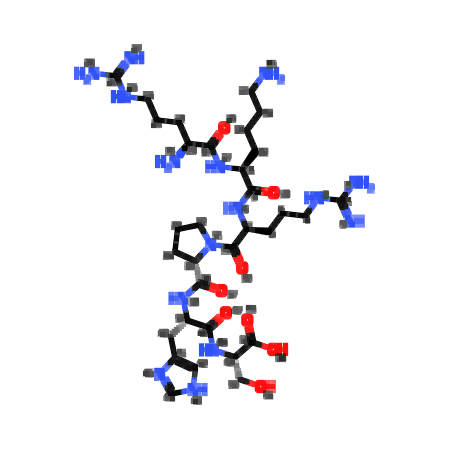 N=C(N)NCCC[C@H](NC(=O)[C@H](CCCCN)NC(=O)[C@@H](N)CCCNC(=N)N)C(=O)N1CCC[C@H]1C(=O)N[C@@H](Cc1c[nH]cn1)C(=O)N[C@@H](CO)C(=O)O